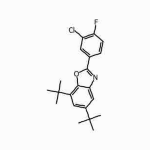 CC(C)(C)c1cc(C(C)(C)C)c2oc(-c3ccc(F)c(Cl)c3)nc2c1